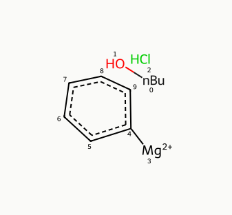 CCCCO.Cl.[Mg+2][c]1ccccc1